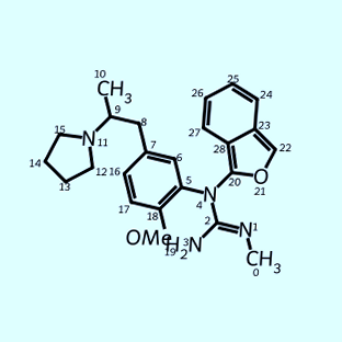 CN=C(N)N(c1cc(CC(C)N2CCCC2)ccc1OC)c1occ2ccccc12